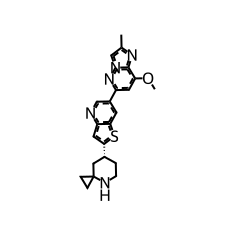 COc1cc(-c2cnc3cc([C@@H]4CCNC5(CC5)C4)sc3c2)nn2cc(C)nc12